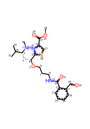 CN[C@H](C[C@@H](OCCCNC(=O)c1ccccc1C=O)c1nc(C(=O)OC)cs1)C(C)C